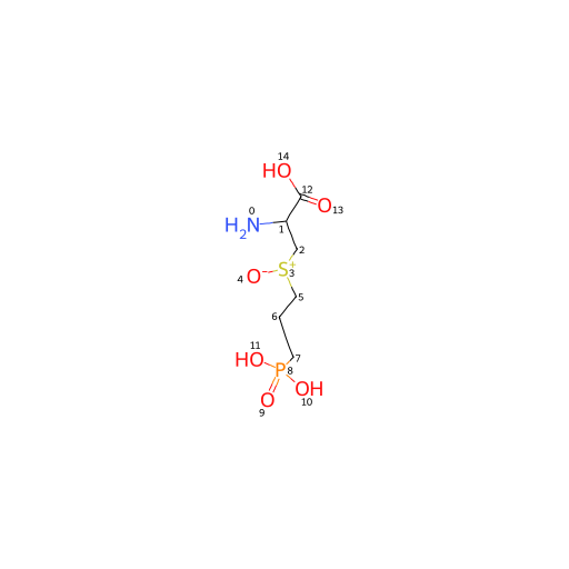 NC(C[S+]([O-])CCCP(=O)(O)O)C(=O)O